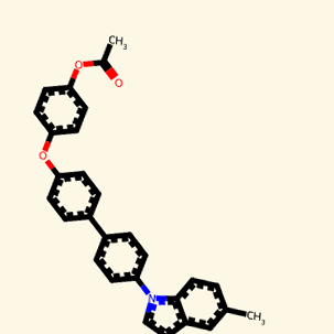 CC(=O)Oc1ccc(Oc2ccc(-c3ccc(-n4ccc5cc(C)ccc54)cc3)cc2)cc1